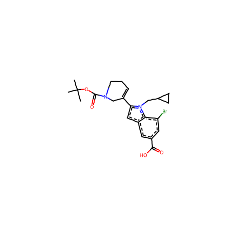 CC(C)(C)OC(=O)N1CCC=C(c2cc3cc(C(=O)O)cc(Br)c3n2CC2CC2)C1